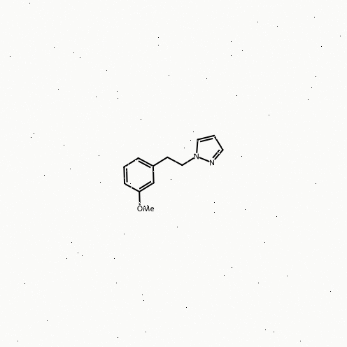 COc1cccc(CCn2cccn2)c1